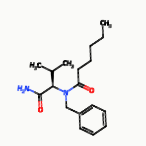 CCCCCC(=O)N(Cc1ccccc1)[C@@H](C(N)=O)C(C)C